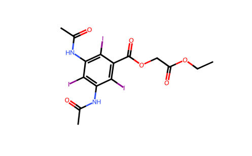 CCOC(=O)COC(=O)c1c(I)c(NC(C)=O)c(I)c(NC(C)=O)c1I